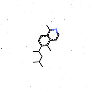 Cc1nccc2c(C)c(C(C)CC(C)C)ccc12